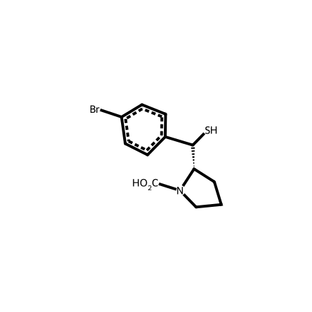 O=C(O)N1CCC[C@H]1C(S)c1ccc(Br)cc1